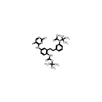 CC(C)(C)OC(=O)Nc1ccc(Nc2nc(Cl)ncc2F)cc1CCc1cccc(N(C(=O)O)C(C)(C)C)c1